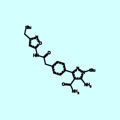 CC(C)(C)Cc1cc(NC(=O)Cc2ccc(-c3nn(C(C)(C)C)c(N)c3C(N)=O)cc2)on1